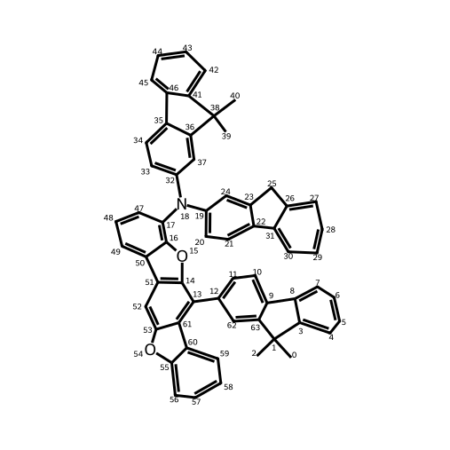 CC1(C)c2ccccc2-c2ccc(-c3c4oc5c(N(c6ccc7c(c6)Cc6ccccc6-7)c6ccc7c(c6)C(C)(C)c6ccccc6-7)cccc5c4cc4oc5ccccc5c34)cc21